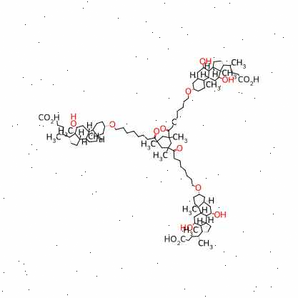 C[C@H](CCC(=O)O)[C@H]1CC[C@H]2[C@@H]3CC[C@@H]4C[C@@H](OCCCCCCCC(=O)C5(C)CC(C)(C(=O)CCCCCCCO[C@H]6CC[C@@]7(C)[C@@H](C6)C[C@@H](O)[C@@H]6[C@@H]7C[C@H](O)[C@]7(C)[C@@H]([C@H](C)CCC(=O)O)CC[C@@H]67)CC(C)(C(=O)CCCCCCCO[C@H]6CC[C@@]7(C)[C@@H](C6)C[C@@H](O)[C@@H]6[C@@H]7C[C@H](O)[C@]7(C)[C@@H]([C@H](C)CCC(=O)O)CC[C@@H]67)C5)CC[C@]4(C)[C@H]3C[C@H](O)[C@]12C